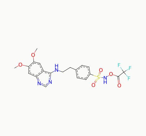 COc1cc2ncnc(NCCc3ccc(S(=O)(=O)NOC(=O)C(F)(F)F)cc3)c2cc1OC